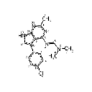 Cc1nc(N=CN(C)C)c2c(-c3ccc(Cl)cc3)c[nH]c2n1